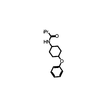 CC(C)C(=O)NC1CCC(Oc2ccccc2)CC1